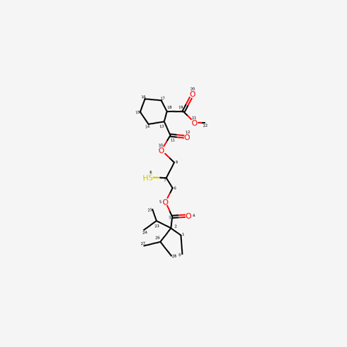 CCC(C(=O)OCC(S)COC(=O)C1CCCCC1C(=O)OC)(C(C)C)C(C)C